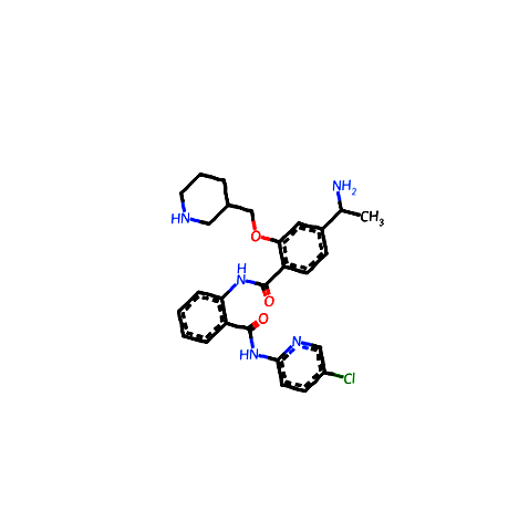 CC(N)c1ccc(C(=O)Nc2ccccc2C(=O)Nc2ccc(Cl)cn2)c(OCC2CCCNC2)c1